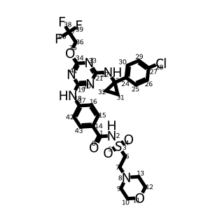 O=C(NS(=O)(=O)CCN1CCOCC1)c1ccc(Nc2nc(NC3(c4ccc(Cl)cc4)CC3)nc(OCC(F)(F)F)n2)cc1